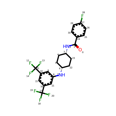 O=C(N[C@H]1CC[C@@H](Nc2cc(C(F)(F)F)cc(C(F)(F)F)c2)CC1)c1ccc(F)cc1